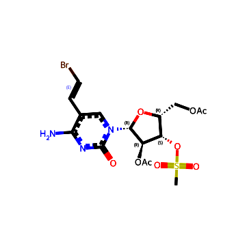 CC(=O)OC[C@H]1O[C@@H](n2cc(/C=C/Br)c(N)nc2=O)[C@H](OC(C)=O)[C@H]1OS(C)(=O)=O